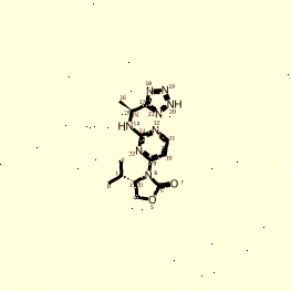 CC(C)[C@H]1COC(=O)N1c1ccnc(N[C@@H](C)c2nn[nH]n2)n1